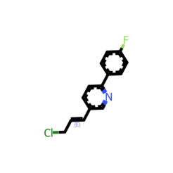 Fc1ccc(-c2ccc(/C=C/CCl)cn2)cc1